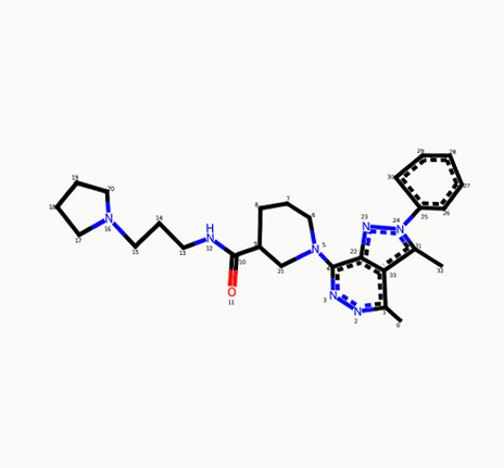 Cc1nnc(N2CCCC(C(=O)NCCCN3CCCC3)C2)c2nn(-c3ccccc3)c(C)c12